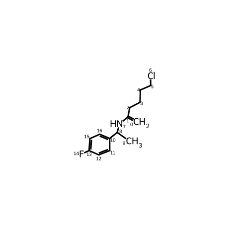 C=C(CCCCCl)NC(C)c1ccc(F)cc1